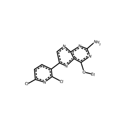 CCOc1nc(N)nc2ncc(-c3ccc(Cl)nc3Cl)nc12